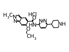 CCOc1cc2nn(C)cc2cc1C(=O)Nc1ccc(C2CCNCC2)nn1.Cl